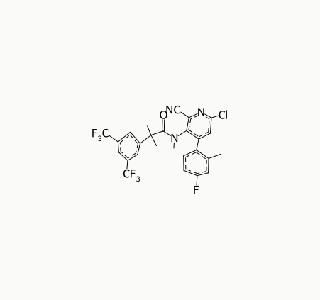 Cc1cc(F)ccc1-c1cc(Cl)nc(C#N)c1N(C)C(=O)C(C)(C)c1cc(C(F)(F)F)cc(C(F)(F)F)c1